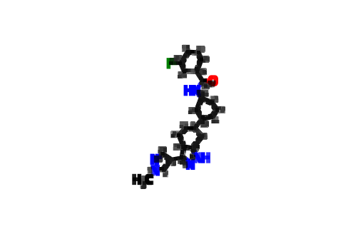 Cn1cc(-c2n[nH]c3cc(-c4cccc(NC(=O)c5cccc(F)c5)c4)ccc23)cn1